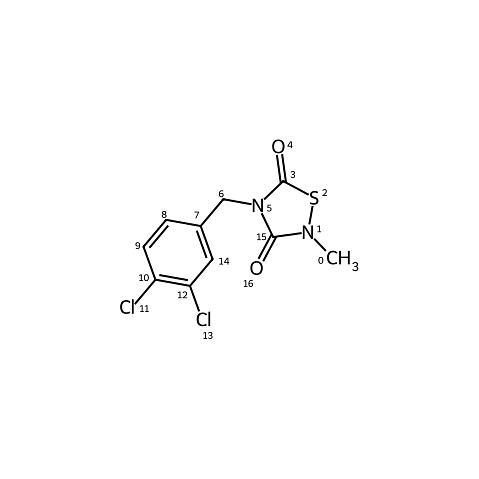 Cn1sc(=O)n(Cc2ccc(Cl)c(Cl)c2)c1=O